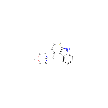 c1ccc2c3c([nH]c2c1)SCCC3CN1CCOCC1